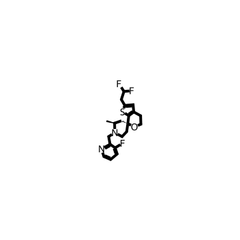 C[C@H]1C[C@@]2(CCN1Cc1ncccc1F)OCCc1cc(CC(F)F)sc12